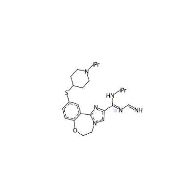 CC(C)N/C(=N\C=N)c1cn2c(n1)-c1cc(SC3CCN(C(C)C)CC3)ccc1OCC2